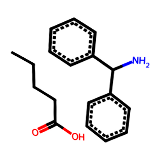 CCCCC(=O)O.NC(c1ccccc1)c1ccccc1